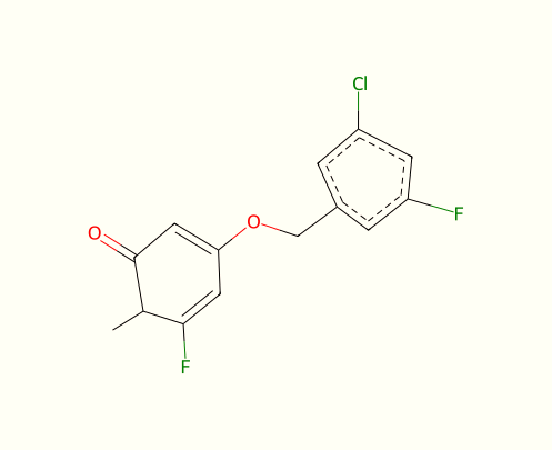 CC1C(=O)C=C(OCc2cc(F)cc(Cl)c2)C=C1F